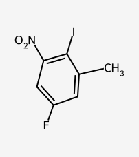 Cc1cc(F)cc([N+](=O)[O-])c1I